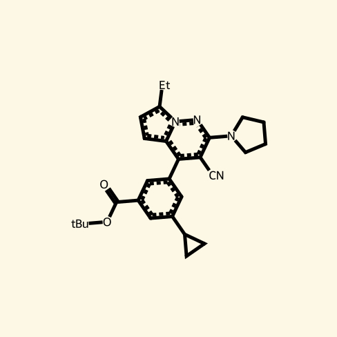 CCc1ccc2c(-c3cc(C(=O)OC(C)(C)C)cc(C4CC4)c3)c(C#N)c(N3CCCC3)nn12